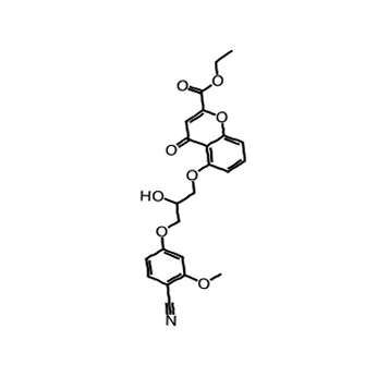 CCOC(=O)c1cc(=O)c2c(OCC(O)COc3ccc(C#N)c(OC)c3)cccc2o1